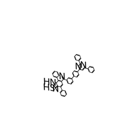 N=C1/C(=N\S)C(c2ccccc2)=Cc2c(-c3cccc(-c4ccc(-c5cc(-c6ccccc6)nc(-c6ccccc6)n5)cc4)c3)nc3ccccc3c21